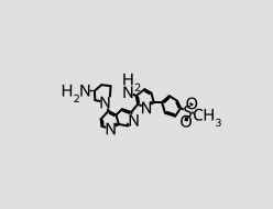 CS(=O)(=O)c1ccc(-c2ccc(N)c(-c3cc4c(N5CCC[C@H](N)C5)ccnc4cn3)n2)cc1